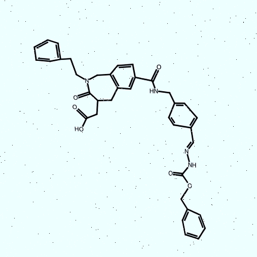 O=C(O)CC1Cc2cc(C(=O)NCc3ccc(C=NNC(=O)OCc4ccccc4)cc3)ccc2CN(CCc2ccccc2)C1=O